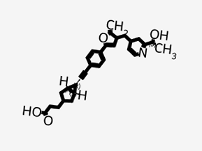 C=C1OC(c2ccc(C#C[C@@H]3[C@H]4CC(CCC(=O)O)C[C@@H]34)cc2)=CC1CC1C=CN=C([C@H](C)O)C1